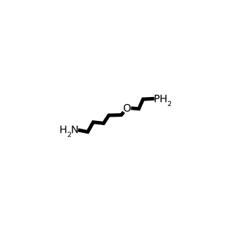 NCCCCCOCCP